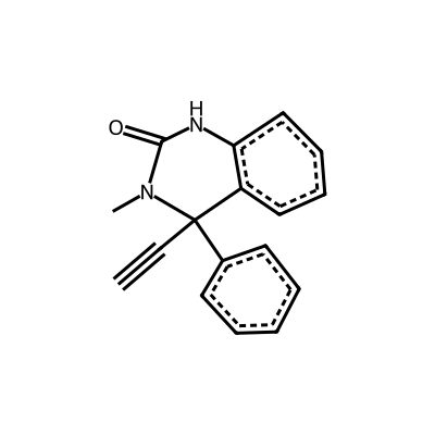 C#CC1(c2ccccc2)c2ccccc2NC(=O)N1C